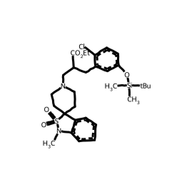 CCOC(=O)C(Cc1cc(O[Si](C)(C)C(C)(C)C)ccc1Cl)CN1CCC2(CC1)c1ccccc1N(C)S2(=O)=O